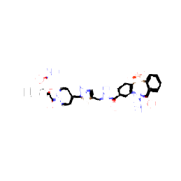 CC(OC(N)=O)C(=O)N1CCC(c2ncc(CNC(=O)c3ccc4c(c3)NC(=O)c3ccccc3S4(=O)=O)s2)CC1